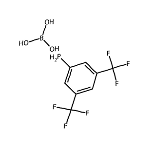 FC(F)(F)c1cc(P)cc(C(F)(F)F)c1.OB(O)O